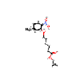 CCOC(=O)CCCCCOc1cc(C)ccc1[N+](=O)[O-]